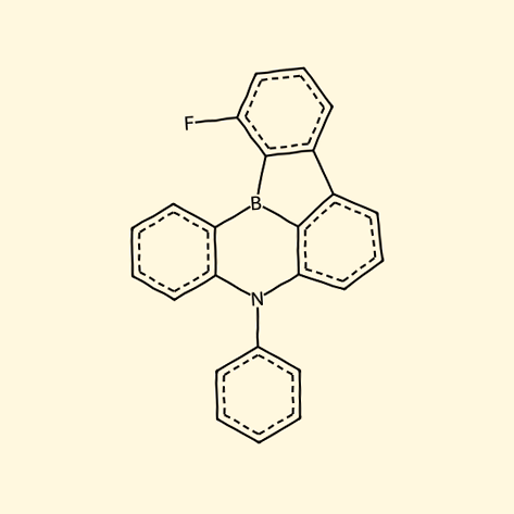 Fc1cccc2c1B1c3ccccc3N(c3ccccc3)c3cccc-2c31